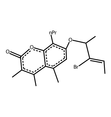 CC=C(Br)C(C)Oc1cc(C)c2c(C)c(C)c(=O)oc2c1CCC